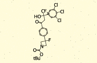 CC(C)(C)OC(=O)N1CC(F)(c2ccc(C(=O)CC(O)(c3cc(Cl)c(Cl)c(Cl)c3)C(F)(F)F)cc2)C1